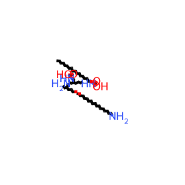 CCCCC(CC)CN.CCCCC(CC)CNC(=O)O.CCCCCCCCCCCCCCCCCCN.CCCCCCCCCCCCCCCCCCNC(=O)O